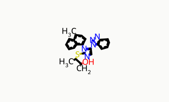 C=C(O)C(C)Sc1ncc(-n2nnc3ccccc32)n1-c1ccc(C)c2ccccc12